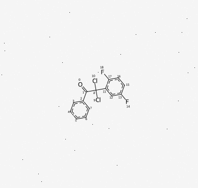 O=C(c1ccccc1)C(Cl)(Cl)c1cc(F)ccc1F